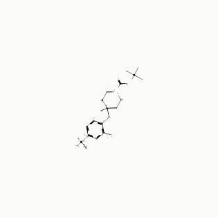 CC(C)(C)OC(=O)N1CCC(F)(Cc2ccc(C(F)(F)F)cc2F)CC1